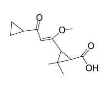 COC(=CC(=O)C1CC1)C1C(C(=O)O)C1(C)C